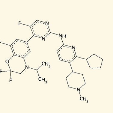 CC(C)N1CC(F)(F)Oc2c(F)cc(-c3nc(Nc4ccc(C5CCN(C)CC5)c(C5CCCC5)n4)ncc3F)cc21